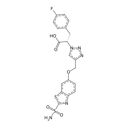 NS(=O)(=O)c1nc2ccc(OCc3cn([C@@H](Cc4ccc(F)cc4)C(=O)O)nn3)cc2s1